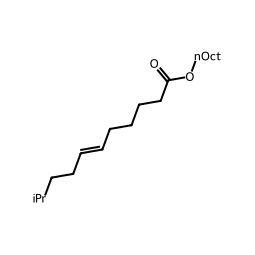 CCCCCCCCOC(=O)CCCC/C=C/CCC(C)C